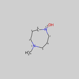 CN1CCCN(O)CCC1